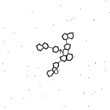 c1ccc(-c2ccc(-c3cccc4ccccc34)cc2N(c2ccc(-c3ccc4ccccc4c3)cc2)c2cccc(-c3ccc4c(c3)oc3ccccc34)c2)cc1